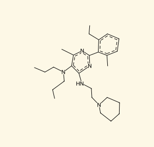 CCCN(CCC)c1c(C)nc(-c2c(C)cccc2CC)nc1NCCN1CCCCC1